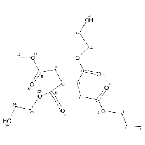 CCCOC(=O)CC(C(=O)OCCO)C(CC(=O)OC)C(=O)OCCO